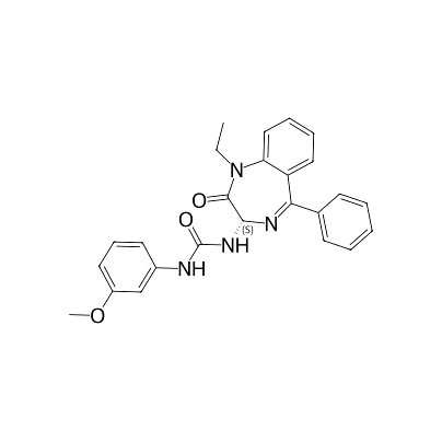 CCN1C(=O)[C@@H](NC(=O)Nc2cccc(OC)c2)N=C(c2ccccc2)c2ccccc21